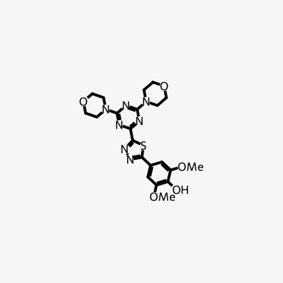 COc1cc(-c2nnc(-c3nc(N4CCOCC4)nc(N4CCOCC4)n3)s2)cc(OC)c1O